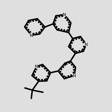 CC(C)(C)c1cncc(-c2cncc(-c3cncc(-c4cncc(-c5cccnc5)c4)c3)c2)c1